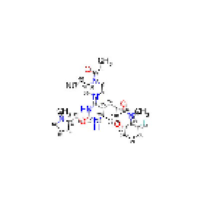 C=CC(=O)N1CCN(C2NC(OC[C@@H]3CCCN3C)NC3C[C@@]4(CCC32)Oc2cccc(F)c2N(C)C4=O)C[C@H]1CC#N